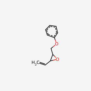 C=CC1OC1COc1ccccc1